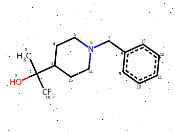 CC(O)(C1CCN(Cc2ccccc2)CC1)C(F)(F)F